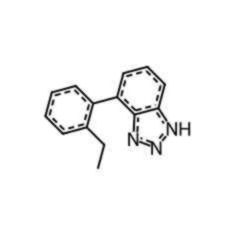 CCc1ccccc1-c1cccc2[nH]nnc12